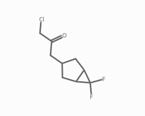 O=C(CCl)CC1CC2C(C1)C2(F)F